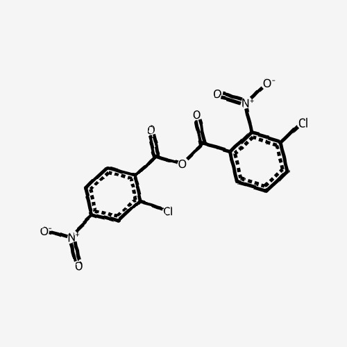 O=C(OC(=O)c1cccc(Cl)c1[N+](=O)[O-])c1ccc([N+](=O)[O-])cc1Cl